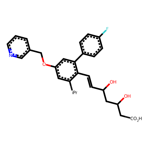 CC(C)c1cc(OCc2cccnc2)cc(-c2ccc(F)cc2)c1C=CC(O)CC(O)CC(=O)O